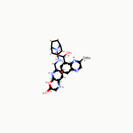 COc1cnc2cccc(C(O)CN3C4CCC3CC(NCc3ccc5ncc(=O)oc5n3)C4)c2n1